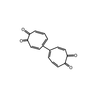 O=c1cccc(-c2cccc(=O)c(=O)cc2)ccc1=O